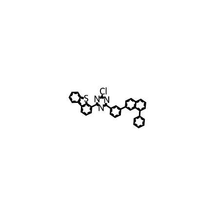 Clc1nc(-c2cccc(-c3ccc4cccc(-c5ccccc5)c4c3)c2)nc(-c2cccc3c2sc2ccccc23)n1